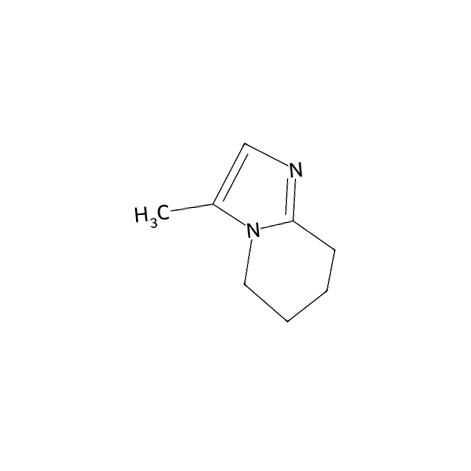 Cc1cnc2n1CCCC2